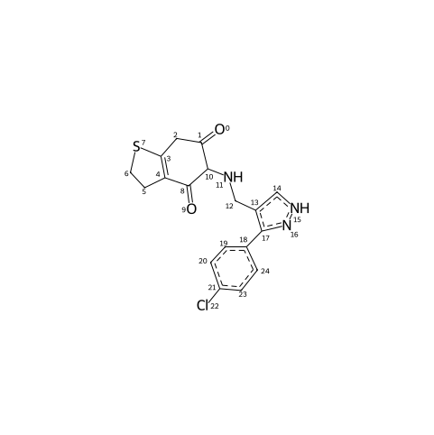 O=C1CC2=C(CCS2)C(=O)C1NCc1c[nH]nc1-c1ccc(Cl)cc1